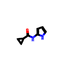 O=C(Nc1ccc[nH]1)C1CC1